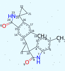 Cc1ccc2c(c1)NC(=O)C21CC1c1cc2c(cc1C)C1(CC1)NC2=O